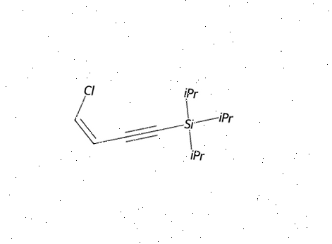 CC(C)[Si](C#C/C=C\Cl)(C(C)C)C(C)C